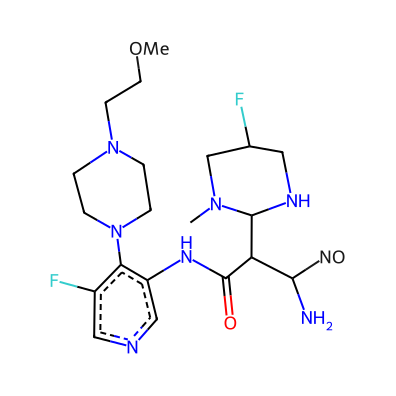 COCCN1CCN(c2c(F)cncc2NC(=O)C(C(N)N=O)C2NCC(F)CN2C)CC1